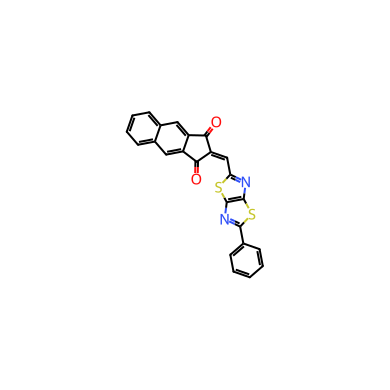 O=C1C(=Cc2nc3sc(-c4ccccc4)nc3s2)C(=O)c2cc3ccccc3cc21